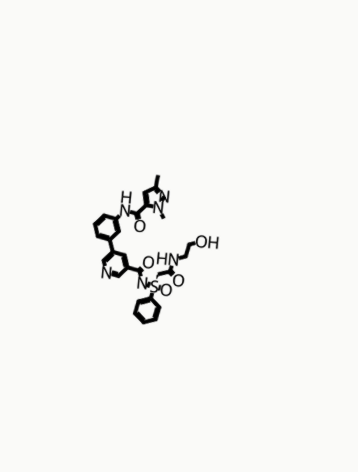 Cc1cc(C(=O)Nc2cccc(-c3cncc(C(=O)N=[S@](=O)(CC(=O)NCCO)c4ccccc4)c3)c2)n(C)n1